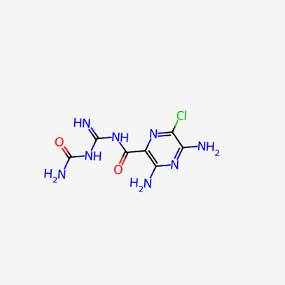 N=C(NC(N)=O)NC(=O)c1nc(Cl)c(N)nc1N